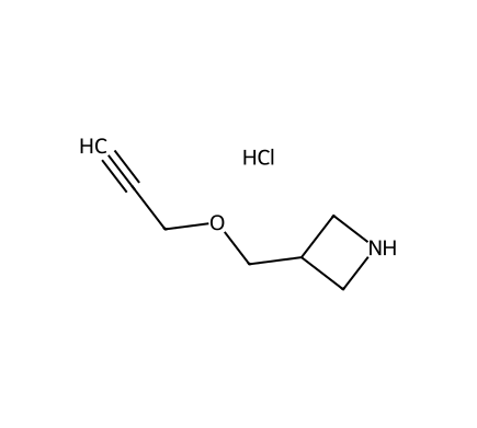 C#CCOCC1CNC1.Cl